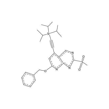 CC(C)[Si](C#Cc1cc(OCc2ccccc2)nc2nc(S(C)(=O)=O)ncc12)(C(C)C)C(C)C